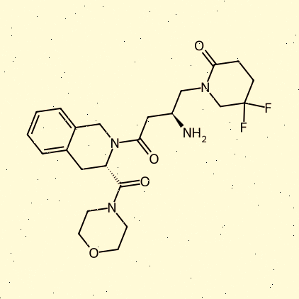 N[C@@H](CC(=O)N1Cc2ccccc2C[C@H]1C(=O)N1CCOCC1)CN1CC(F)(F)CCC1=O